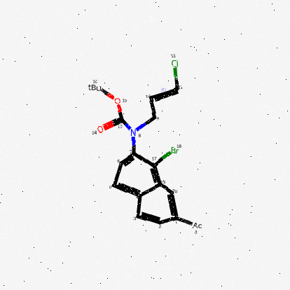 CC(=O)c1ccc2ccc(N(C/C=C/Cl)C(=O)OC(C)(C)C)c(Br)c2c1